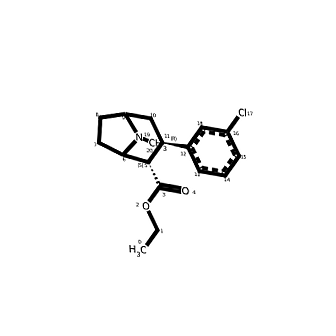 CCOC(=O)[C@@H]1C2CCC(C[C@H]1c1cccc(Cl)c1)N2C